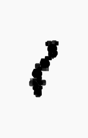 COc1cc2c(cc1OC)CN(CCc1ccc(NC(=O)c3cccc(/C=c4\[nH]c(=O)/c(=C/c5ccoc5)n(C)c4=O)c3)cc1)CC2